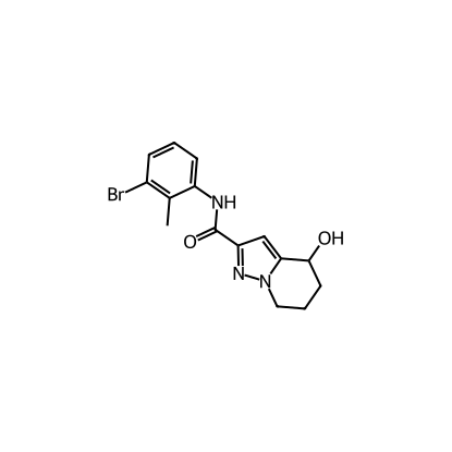 Cc1c(Br)cccc1NC(=O)c1cc2n(n1)CCCC2O